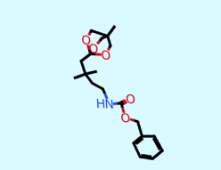 CC(C)(CCNC(=O)OCc1ccccc1)CC12OCC(C)(CO1)CO2